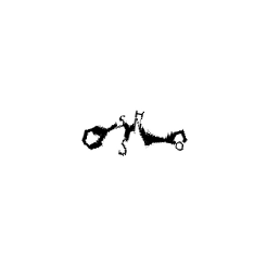 S=C(NCC1CCCO1)Sc1ccccc1